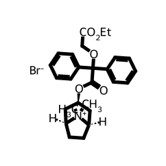 CCOC(=O)COC(C(=O)O[C@H]1C[C@H]2CC[C@@H](C1)[N+]2(C)C)(c1ccccc1)c1ccccc1.[Br-]